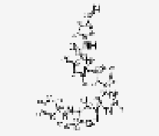 Cc1nc(NC(=O)c2nn(-c3ccccc3)c(C)cc2=O)cc(-c2cccc(-n3nc(C(=O)Nc4ccc(C#N)s4)c(=O)cc3C)c2)n1